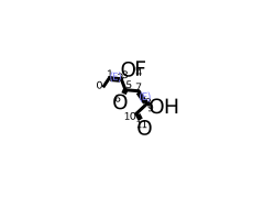 C/C=C(/OF)C(=O)/C=C(/O)C=O